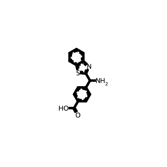 NC(c1ccc(C(=O)O)cc1)c1nc2ccccc2s1